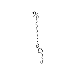 COC(C)(C)OCCCCCCCCCCCCOc1ccc(CCC=O)cc1